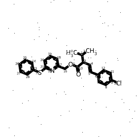 CC(C)C(/C=C/c1ccc(Cl)cc1)C(=O)OCc1cccc(Sc2ccccc2)n1